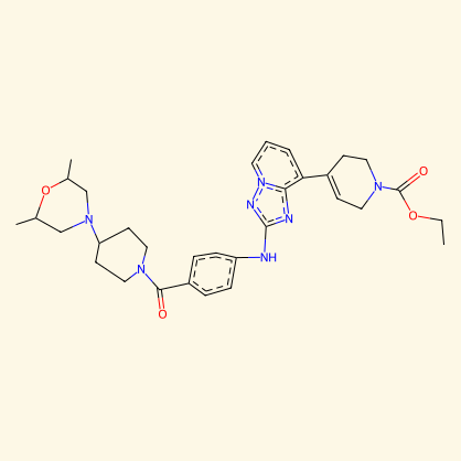 CCOC(=O)N1CC=C(c2cccn3nc(Nc4ccc(C(=O)N5CCC(N6CC(C)OC(C)C6)CC5)cc4)nc23)CC1